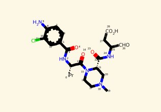 CC(C)[C@H](NC(=O)c1ccc(N)c(Cl)c1)C(=O)N1CCN(C)C[C@H]1C(=O)NC(C=O)CC(=O)O